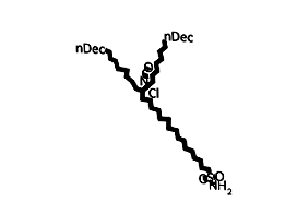 CCCCCCCCCCCCCCCCCCC(CCCCCCCCCCCCCCCCS(N)(=O)=O)C(Cl)(CCCCCCCCCCCCCCCCCC)N=C=O